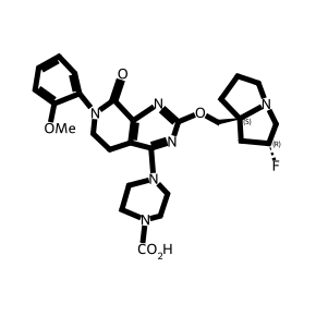 COc1ccccc1N1CCc2c(nc(OC[C@@]34CCCN3C[C@H](F)C4)nc2N2CCN(C(=O)O)CC2)C1=O